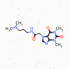 CN(C)CCCNC(=O)Cn1cnc2c1c(=O)n(C)c(=O)n2C